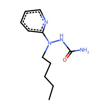 CCCCCN(NC(N)=O)c1ccccn1